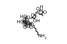 Cc1cn(C[C@H]2CC(O)[C@@H](COP(=O)(O)OP(=O)(O)OP(=O)(O)OP(=O)(O)OCCCCCCN)O2)c(=O)[nH]c1=O